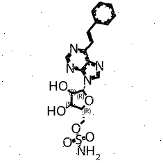 NS(=O)(=O)OC[C@H]1O[C@@H](n2cnc3c(C=Cc4ccccc4)ncnc32)[C@H](O)[C@@H]1O